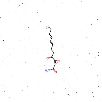 CCCCC=CCCC(=O)C1=C(C(N)=O)O1